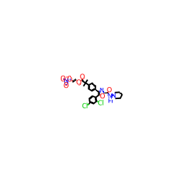 CC(C)(C(=O)OCCO[N+](=O)[O-])c1ccc(-c2nc(C(=O)NN3CCCCC3)oc2-c2ccc(Cl)cc2Cl)cc1